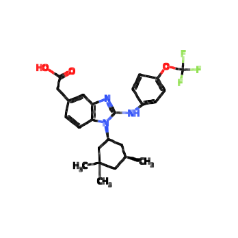 C[C@@H]1C[C@H](n2c(Nc3ccc(OC(F)(F)F)cc3)nc3cc(CC(=O)O)ccc32)CC(C)(C)C1